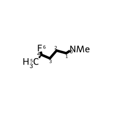 CNCCC[C@@H](C)F